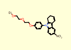 CCOCCOCCOc1ccc(-n2c3c(c4cc([N+](=O)[O-])ccc42)C=CCC3)cc1